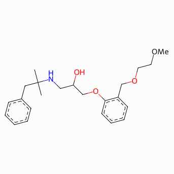 COCCOCc1ccccc1OCC(O)CNC(C)(C)Cc1ccccc1